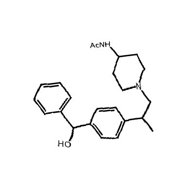 CC(=O)NC1CCN(CC(C)c2ccc(C(O)c3ccccc3)cc2)CC1